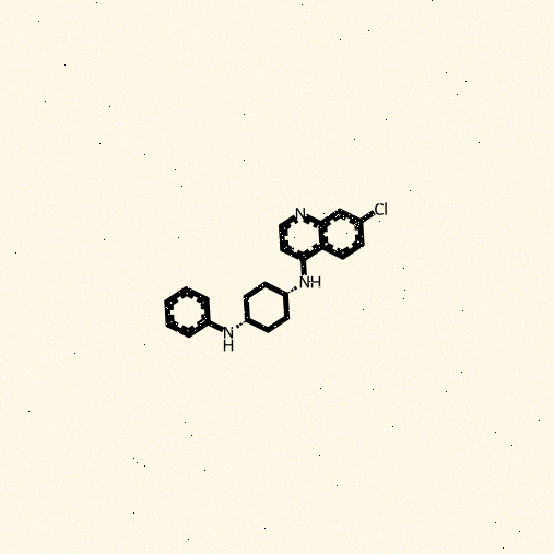 Clc1ccc2c(N[C@H]3CC[C@@H](Nc4ccccc4)CC3)ccnc2c1